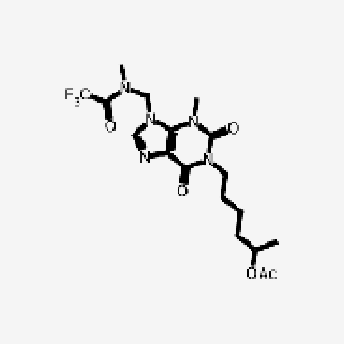 CC(=O)OC(C)CCCCn1c(=O)c2ncn(CN(C)C(=O)C(F)(F)F)c2n(C)c1=O